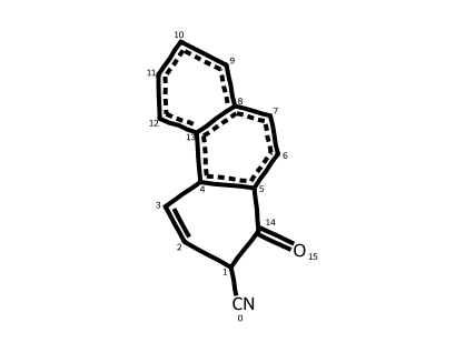 N#CC1C=Cc2c(ccc3ccccc23)C1=O